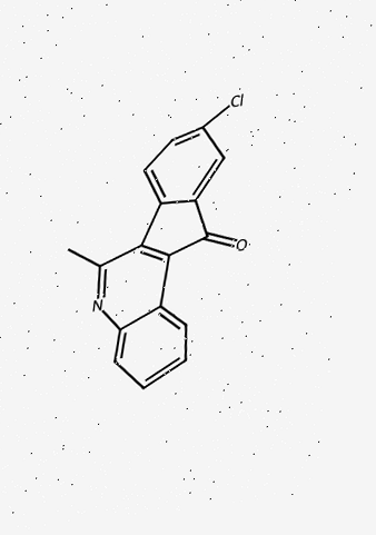 Cc1nc2ccccc2c2c1-c1ccc(Cl)cc1C2=O